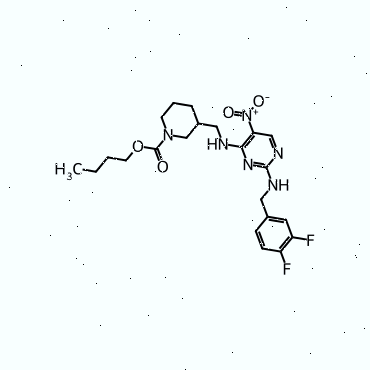 CCCCOC(=O)N1CCCC(CNc2nc(NCc3ccc(F)c(F)c3)ncc2[N+](=O)[O-])C1